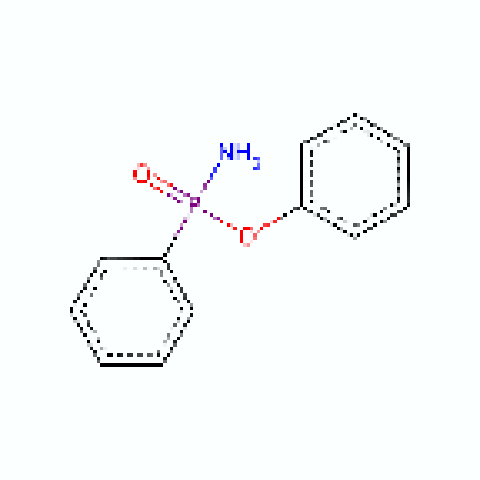 NP(=O)(Oc1ccccc1)c1ccccc1